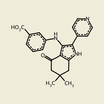 CC1(C)CC(=O)c2c([nH]c(-c3ccncc3)c2Nc2cccc(C(=O)O)c2)C1